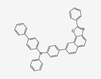 c1ccc(-c2ccc(N(c3ccccc3)c3ccc(-c4ccc5ccc6nc(-c7ccccc7)oc6c5c4)cc3)cc2)cc1